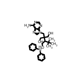 CC(C)(C)C(CO[SiH](c1ccccc1)c1ccccc1)C(CO)(CO)Cn1cnc2c(N)ncnc21